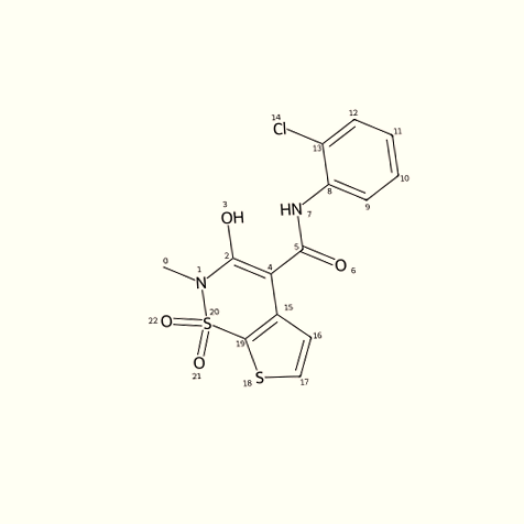 CN1C(O)=C(C(=O)Nc2ccccc2Cl)c2ccsc2S1(=O)=O